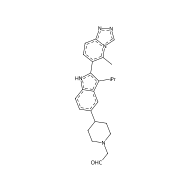 Cc1c(-c2[nH]c3ccc(C4CCN(CC=O)CC4)cc3c2C(C)C)ccc2nncn12